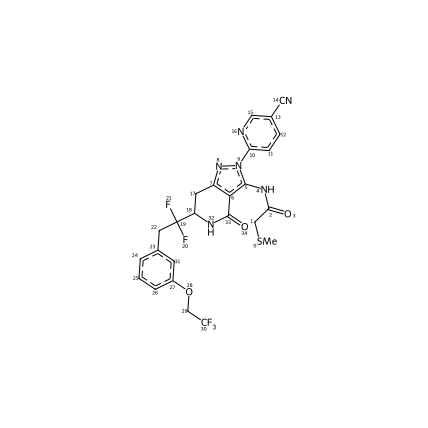 CSCC(=O)Nc1c2c(nn1-c1ccc(C#N)cn1)CC(C(F)(F)Cc1cccc(OCC(F)(F)F)c1)NC2=O